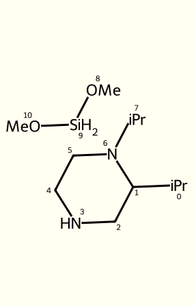 CC(C)C1CNCCN1C(C)C.CO[SiH2]OC